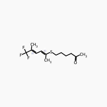 CC(=O)CCCCS/C(C)=C/C=C(\C)C(F)(F)F